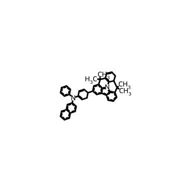 CC1(C)C2=C3C(CC=C2)C(C)(C)c2cccc4c5cc(C6C=CC(N(c7ccccc7)c7ccc8ccccc8c7)=CC6)cc1c5n3c24